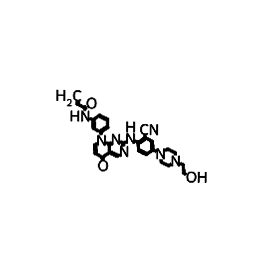 C=CC(=O)Nc1cccc(-n2ccc(=O)c3cnc(Nc4ccc(N5CCN(CCO)CC5)cc4C#N)nc32)c1